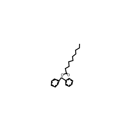 CCCCCCCCCC(=O)O[I+](c1ccccc1)c1ccccc1